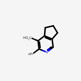 CCCc1ncc2c(c1C(=O)O)CCC2